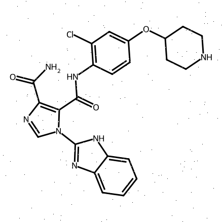 NC(=O)c1ncn(-c2nc3ccccc3[nH]2)c1C(=O)Nc1ccc(OC2CCNCC2)cc1Cl